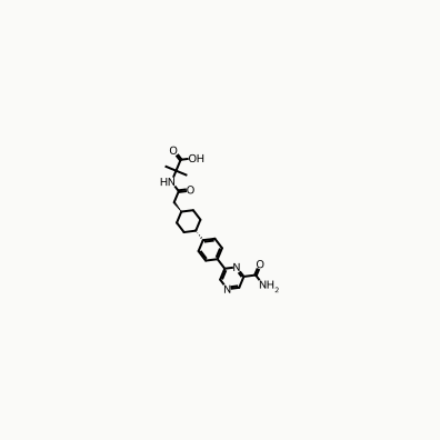 CC(C)(NC(=O)C[C@H]1CC[C@H](c2ccc(-c3cncc(C(N)=O)n3)cc2)CC1)C(=O)O